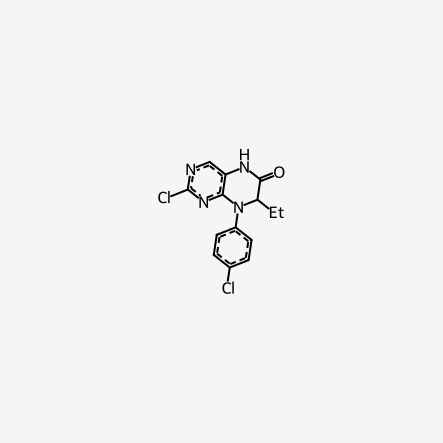 CCC1C(=O)Nc2cnc(Cl)nc2N1c1ccc(Cl)cc1